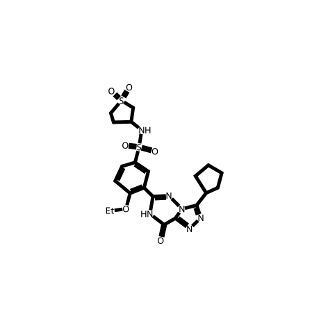 CCOc1ccc(S(=O)(=O)NC2CCS(=O)(=O)C2)cc1-c1nn2c(C3CCCC3)nnc2c(=O)[nH]1